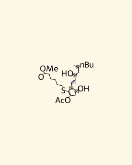 CCCC[C@@H](C)C[C@H](O)/C=C/[C@@H]1C(SCCCCCC(=O)OC)=C(OC(C)=O)C[C@H]1O